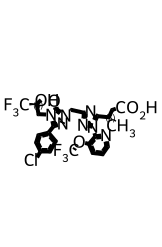 C[C@@H](CC(=O)O)c1nc(Cn2nc(-c3ccc(Cl)cc3)n(C[C@H](O)C(F)(F)F)c2=O)nn1-c1ncccc1OC(F)(F)F